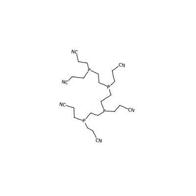 N#CCCP(CCC#N)CCP(CCC#N)CCP(CCC#N)CCP(CCC#N)CCC#N